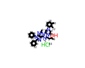 Cc1nc(N(C)C(CC(C)O)N2CCN(c3cccc(C)c3C)CC2)c2nc(-c3ccccc3)n(-c3ccccc3)c2n1.Cl